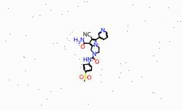 CS(=O)(=O)c1ccc(NC(=O)N2CCn3c(c(C(N)=O)c(C#N)c3-c3cccnc3)C2)cc1